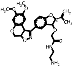 C=C(C)[C@@H]1Oc2ccc(C3=NOC4COc5cc(OC)c(OC)cc5C34)cc2C1OCC(=O)NCCN